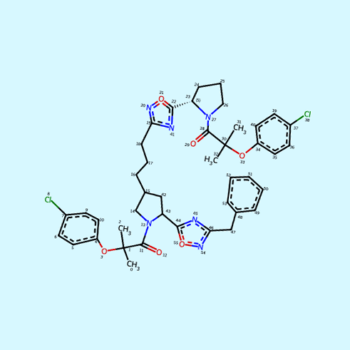 CC(C)(Oc1ccc(Cl)cc1)C(=O)N1CC(CCCc2noc([C@@H]3CCCN3C(=O)C(C)(C)Oc3ccc(Cl)cc3)n2)CC1c1nc(Cc2ccccc2)no1